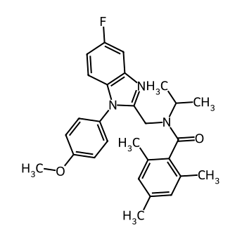 COc1ccc(-n2c(CN(C(=O)c3c(C)cc(C)cc3C)C(C)C)nc3cc(F)ccc32)cc1